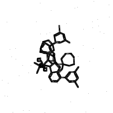 CCC1(CC2=Cc3c(-c4cc(C)cc(C)c4)cccc3[CH]2[Zr]([Cl])([Cl])([CH]2C(CC3(CC)CCCCCC3)=Cc3c(-c4cc(C)cc(C)c4)cccc32)[SiH](C)C)CCCCCC1